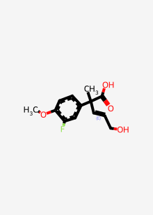 COc1ccc(C(C)(/C=C/CO)C(=O)O)cc1F